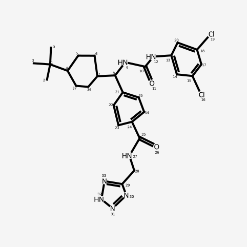 CC(C)(C)C1CCC(C(NC(=O)Nc2cc(Cl)cc(Cl)c2)c2ccc(C(=O)NCc3nn[nH]n3)cc2)CC1